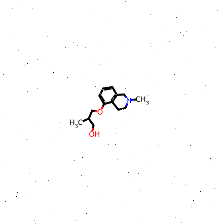 CC(CO)COc1cccc2c1CCN(C)C2